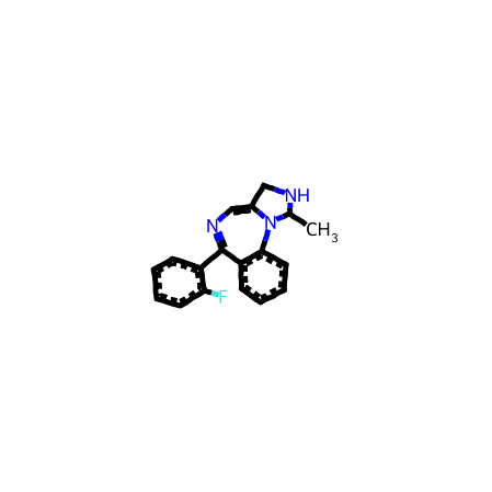 CC1NCC2=CN=C(c3ccccc3F)c3ccccc3N21